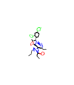 CCCN(C(=O)CC)c1c(CC)nn2c(-c3ccc(Cl)cc3Cl)c(C)oc12